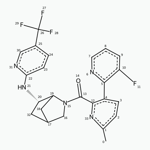 Cc1ccc(-c2ncccc2F)c(C(=O)N2CC3CC2[C@@H](Nc2ccc(C(F)(F)F)cn2)C3)n1